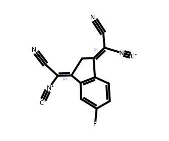 [C-]#[N+]/C(C#N)=C1/C/C(=C(\C#N)[N+]#[C-])c2cc(F)ccc21